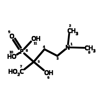 CN(C)CCC(O)(C(=O)O)P(=O)(O)O